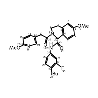 COc1ccc2c(c1)CCN(C(=O)Cc1ccc(OC)nc1)[C@H]2C(=O)Nc1ccc(C(C)(C)C)c(F)c1